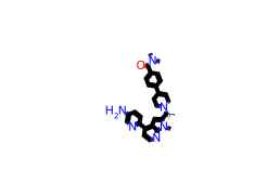 C[C@H](c1cc2c(-c3ccc(N)cn3)ccnc2n1C)N1CC=C(c2ccc(C(=O)N(C)C)cc2)CC1